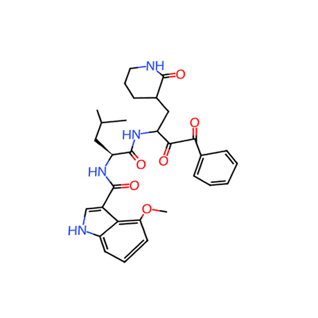 COc1cccc2[nH]cc(C(=O)N[C@@H](CC(C)C)C(=O)NC(CC3CCCNC3=O)C(=O)C(=O)c3ccccc3)c12